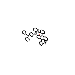 FC(F)(F)c1ccccc1-c1c2ccccc2c(-c2ccccc2C(F)(F)F)c2cc(N(c3ccccc3)c3ccc(N(c4ccccc4)c4ccccc4)cc3)ccc12